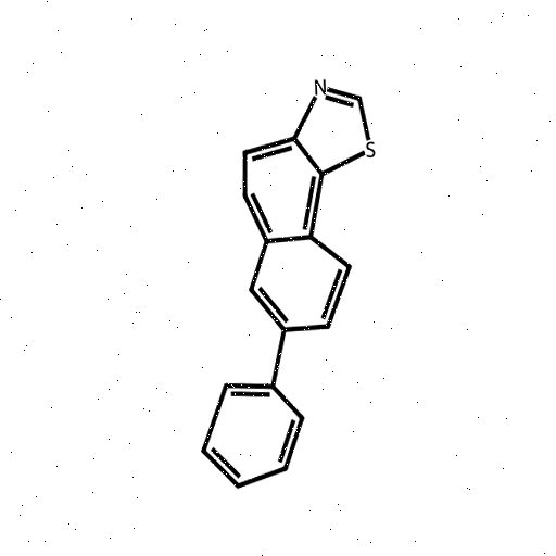 c1ccc(-c2ccc3c(ccc4ncsc43)c2)cc1